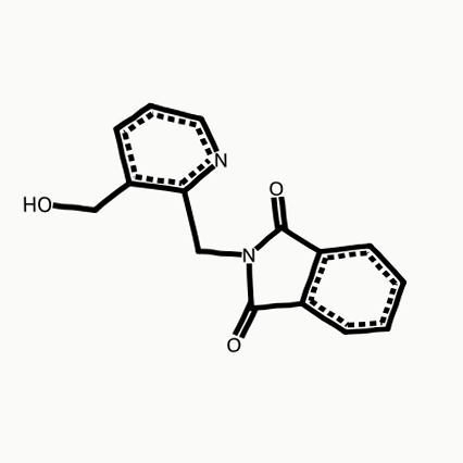 O=C1c2ccccc2C(=O)N1Cc1ncccc1CO